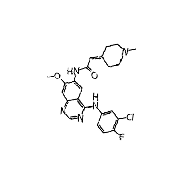 COc1cc2ncnc(Nc3ccc(F)c(Cl)c3)c2cc1NC(=O)C=C1CCN(C)CC1